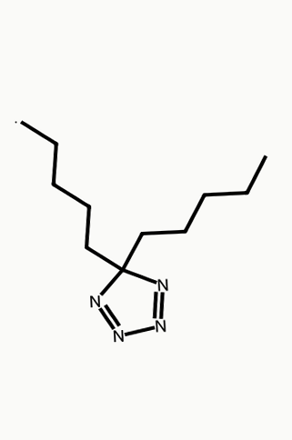 [CH2]CCCCC1(CCCCC)N=NN=N1